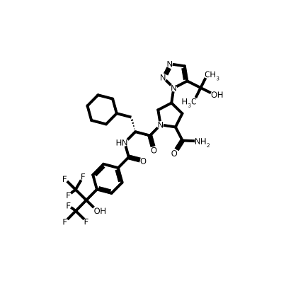 CC(C)(O)c1cnnn1C1CC(C(N)=O)N(C(=O)[C@@H](CC2CCCCC2)NC(=O)c2ccc(C(O)(C(F)(F)F)C(F)(F)F)cc2)C1